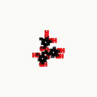 Cc1cc(C(=O)OC2Cc3c(O)cc(O)cc3OC2c2ccc(O)c(O)c2)cc(O)c1O